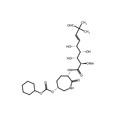 CO[C@@H](C(=O)N[C@H]1CC[C@@H](OC(=O)OC2CCCCC2)CNC1=O)[C@H](O)[C@@H](O)[C@H](O)/C=C/C(C)(C)C=O